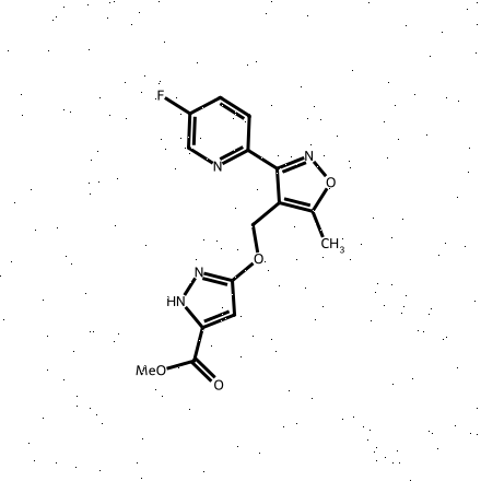 COC(=O)c1cc(OCc2c(-c3ccc(F)cn3)noc2C)n[nH]1